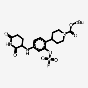 CC(C)(C)OC(=O)N1CCC(c2ccc(NC3CCC(=O)NC3=O)cc2OS(=O)(=O)F)CC1